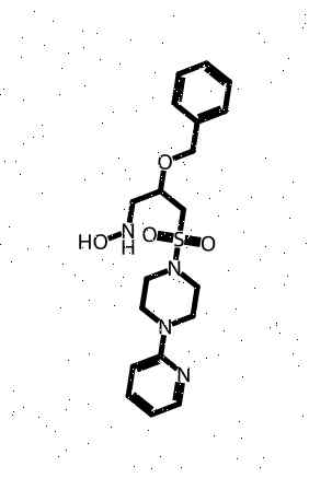 O=S(=O)(CC(CNO)OCc1ccccc1)N1CCN(c2ccccn2)CC1